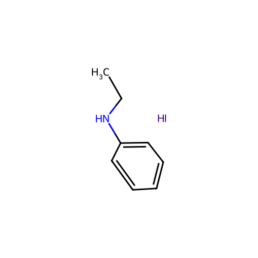 CCNc1ccccc1.I